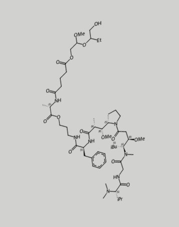 CCC(CO)OC(COC(=O)CCCC(=O)N[C@@H](C)C(=O)OCCCNC(=O)[C@H](Cc1ccccc1)NC(=O)[C@H](C)[C@@H](OC)[C@@H]1CCCN1C(=O)C[C@@H](OC)[C@H]([C@@H](C)CC)N(C)C(=O)CNC(=O)[C@H](C(C)C)N(C)C)OC